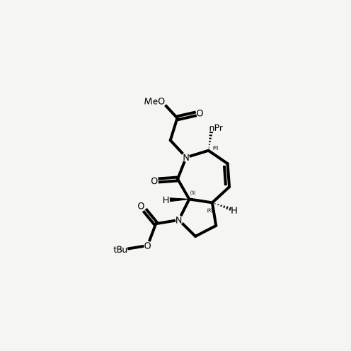 CCC[C@@H]1C=C[C@H]2CCN(C(=O)OC(C)(C)C)[C@@H]2C(=O)N1CC(=O)OC